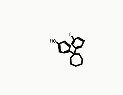 Oc1ccc(C2(c3cccc(F)c3)CCCCCC2)cc1